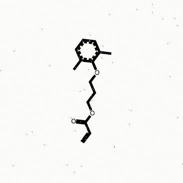 C=CC(=O)OCCCOc1c(C)cccc1C